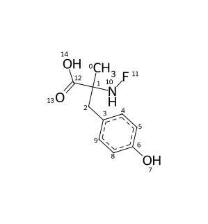 CC(Cc1ccc(O)cc1)(NF)C(=O)O